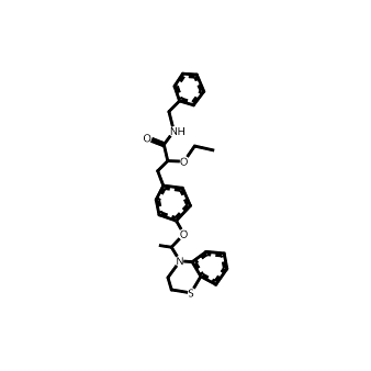 CCOC(Cc1ccc(OC(C)N2CCSc3ccccc32)cc1)C(=O)NCc1ccccc1